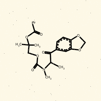 CC(C)C(=O)OC(C)(C)COC(=O)N(C)C(C)C(=O)c1ccc2c(c1)OCO2